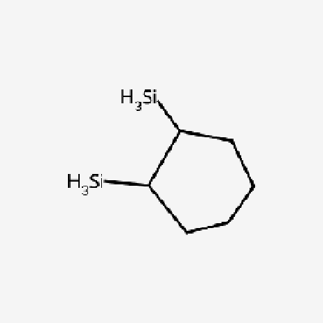 [SiH3]C1CCCCC1[SiH3]